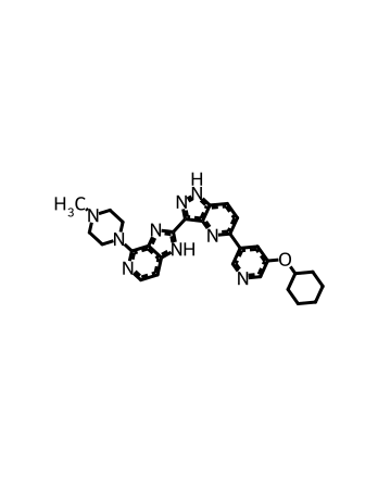 CN1CCN(c2nccc3[nH]c(-c4n[nH]c5ccc(-c6cncc(OC7CCCCC7)c6)nc45)nc23)CC1